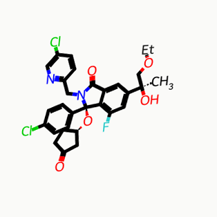 CCOC[C@@](C)(O)c1cc(F)c2c(c1)C(=O)N(Cc1ccc(Cl)cn1)[C@@]2(O[C@H]1CCC(=O)C1)c1ccc(Cl)cc1